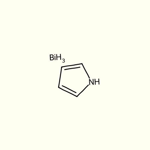 [BiH3].c1cc[nH]c1